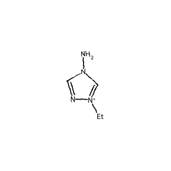 CC[n+]1cn(N)cn1